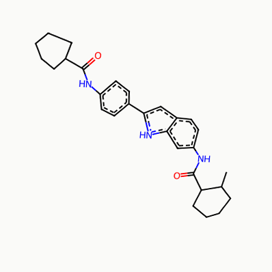 CC1CCCCC1C(=O)Nc1ccc2cc(-c3ccc(NC(=O)C4CCCCC4)cc3)[nH]c2c1